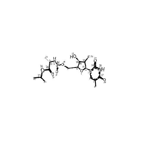 Cc1cn([C@H]2OC(CO[PH](=O)N[C@@H](C)C(=O)OC(C)C)[C@@H](O)C2F)c(=O)[nH]c1=O